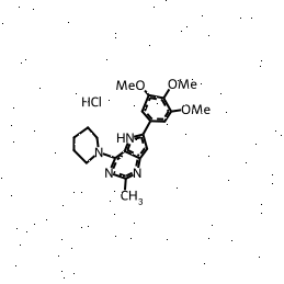 COc1cc(-c2cc3nc(C)nc(N4CCCCC4)c3[nH]2)cc(OC)c1OC.Cl